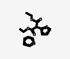 CCOC(=O)C(C(=O)OCC)c1cccs1.c1ccncc1